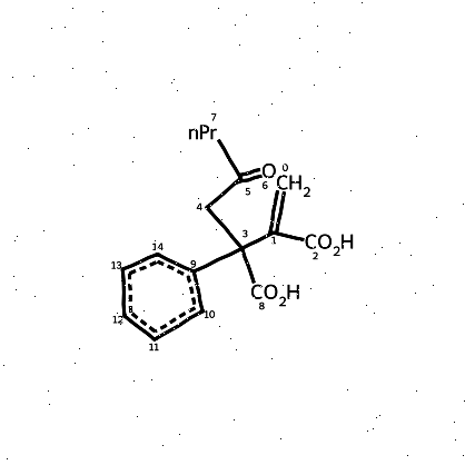 C=C(C(=O)O)C(CC(=O)CCC)(C(=O)O)c1ccccc1